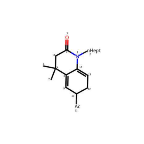 CCCCCCCN1C(=O)CC(C)(C)C2=CC(C(C)=O)CC=C21